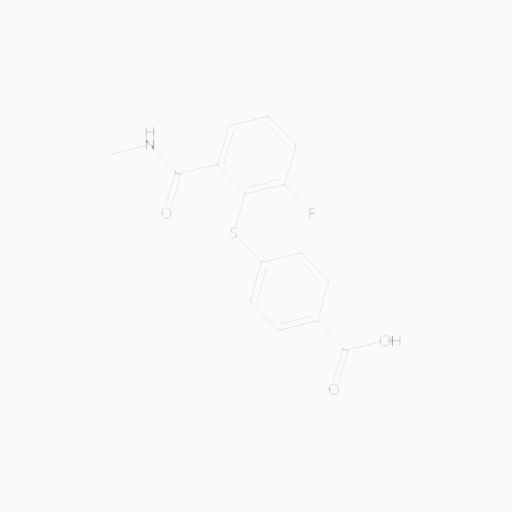 CNC(=O)c1cccc(F)c1Sc1ccc(C(=O)O)cc1